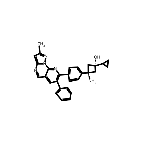 Cc1cc2ncc3cc(-c4ccccc4)c(-c4ccc([C@]5(N)C[C@@](O)(C6CC6)C5)cc4)nc3n2n1